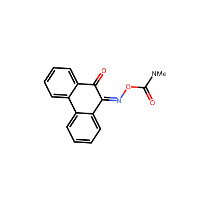 CNC(=O)ON=C1C(=O)c2ccccc2-c2ccccc21